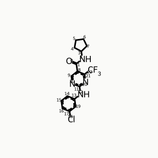 O=C(NC1CCCC1)c1cnc(Nc2cccc(Cl)c2)nc1C(F)(F)F